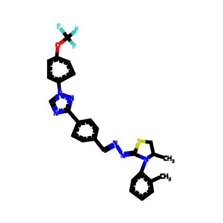 Cc1ccccc1N1/C(=N/N=C/c2ccc(-c3ncn(-c4ccc(OC(F)(F)F)cc4)n3)cc2)SCC1C